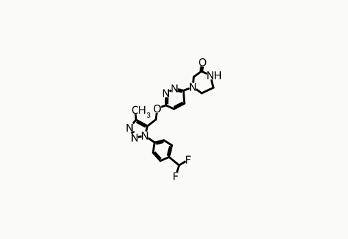 Cc1nnn(-c2ccc(C(F)F)cc2)c1COc1ccc(N2CCNC(=O)C2)nn1